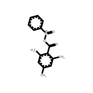 Cc1cc(C)c(C(=O)O[PH](=O)c2ccccc2)c(C)c1